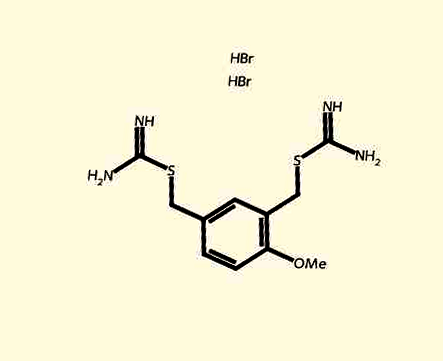 Br.Br.COc1ccc(CSC(=N)N)cc1CSC(=N)N